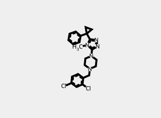 Cn1c(N2CCN(Cc3ccc(Cl)cc3Cl)CC2)nnc1C1(c2ccccc2)CC1